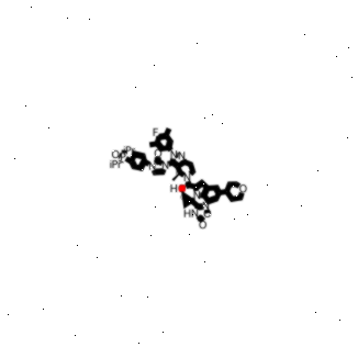 Cc1cc(-n2nc3c(c2-n2ccn(-c4ccc(P(=O)(C(C)C)C(C)C)cc4)c2=O)[C@H](C)N(C(O)c2cc4cc(C5CCOCC5)ccc4n2[C@@]2(c4noc(=O)[nH]4)C[C@@H]2C)CC3)cc(C)c1F